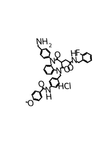 COc1ccc(C(=O)Nc2ccc(CN3C(=O)C(CC(=O)NCc4ccccc4F)C(=O)N(c4ccc(CN)cc4)c4ccccc43)cc2)cc1.Cl